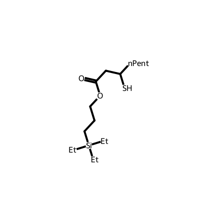 CCCCCC(S)CC(=O)OCCC[Si](CC)(CC)CC